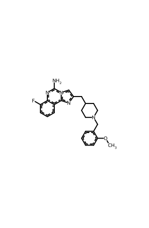 COc1ccccc1CN1CCC(Cc2cn3c(N)nc4c(F)cccc4c3n2)CC1